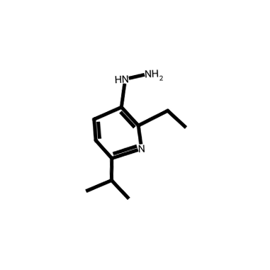 CCc1nc(C(C)C)ccc1NN